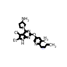 C=C/C=C\c1ncc(Oc2nc(N3CC[C@@H](N)C3)c3c(Cl)c(CC)[nH]c3n2)cc1C